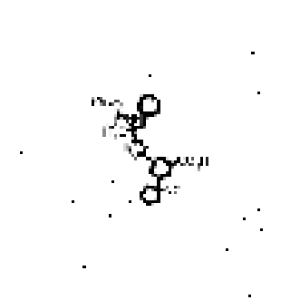 [C-]#[N+]C1(c2cc(C(=O)O)cc(-c3nnc([C@@](C)(Cc4ccccc4)NC(=O)OC(C)(C)C)o3)c2)CCCC1